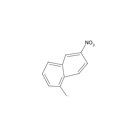 [CH2]c1cccc2cc([N+](=O)[O-])ccc12